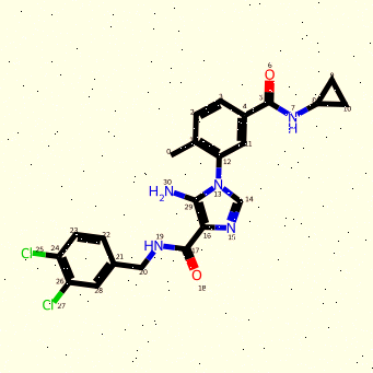 Cc1ccc(C(=O)NC2CC2)cc1-n1cnc(C(=O)NCc2ccc(Cl)c(Cl)c2)c1N